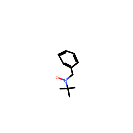 CC(C)(C)N([O])Cc1ccccc1